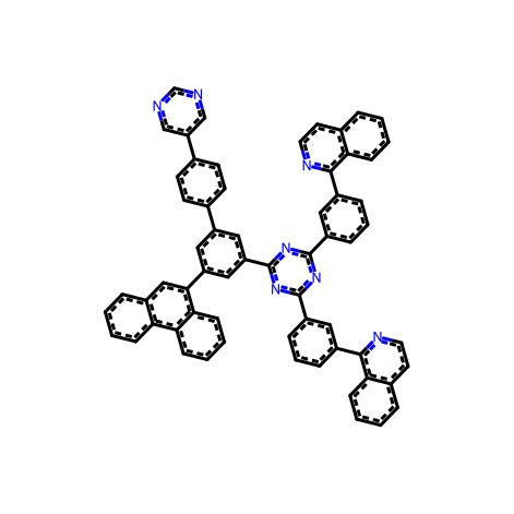 c1cc(-c2nc(-c3cccc(-c4nccc5ccccc45)c3)nc(-c3cc(-c4ccc(-c5cncnc5)cc4)cc(-c4cc5ccccc5c5ccccc45)c3)n2)cc(-c2nccc3ccccc23)c1